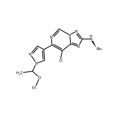 CCOC(C)n1cc(-c2ncn3nc(N[C@H](C)CC)nc3c2Cl)cn1